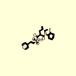 C=CCC(C(=O)NS(=O)(=O)C=Cc1ccccc1)C(=O)N(CC)c1ccccc1F